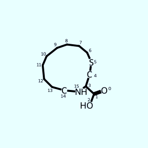 O=C(O)C1CSCCCCCCCCCN1